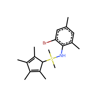 CC1=C(C)C(S(C)(C)Nc2c(C)cc(C)cc2Br)C(C)=C1C